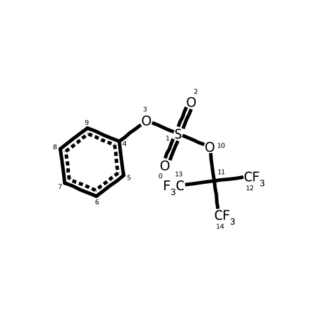 O=S(=O)(Oc1ccccc1)OC(C(F)(F)F)(C(F)(F)F)C(F)(F)F